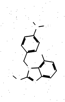 CCOc1nc2cccc(C(=O)O)c2n1Cc1ccc(B(O)O)cc1